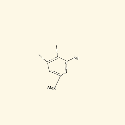 CSc1cc(C)c(C)c(S)c1